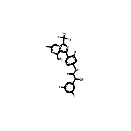 [2H]C([2H])([2H])c1nc(-c2ccc(NC(=O)C(O)c3cc(F)cc(F)c3)cc2F)c2c(N)nc(C)cn12